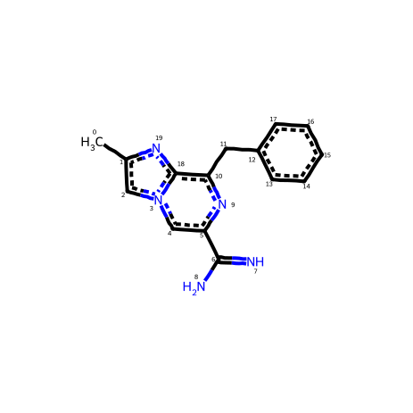 Cc1cn2cc(C(=N)N)nc(Cc3ccccc3)c2n1